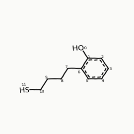 Oc1ccccc1CCCCS